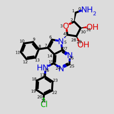 NC[C@@H]1O[C@@H](n2cc(-c3ccccc3)c3c(Nc4ccc(Cl)cc4)ncnc32)[C@H](O)[C@@H]1O